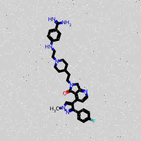 Cn1cc(-c2ccnc3c2C(=O)N(CCC2CCN(CCNc4ccc(C(=N)N)cc4)CC2)C3)c(-c2ccc(F)cc2)n1